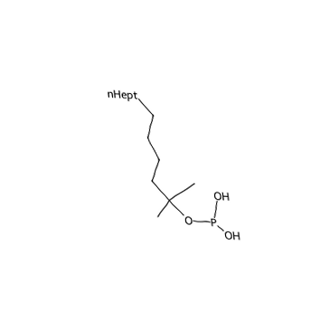 CCCCCCCCCCCC(C)(C)OP(O)O